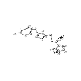 OC(CCc1csc(Cc2ccc(F)cc2)c1)c1nc[nH]n1